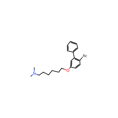 CC(=O)c1ccc(OCCCCCCN(C)C)cc1-c1ccccc1